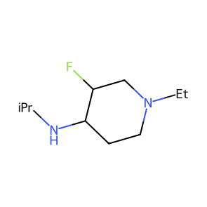 CCN1CCC(NC(C)C)C(F)C1